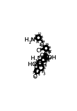 C[C@]12C=CC(=O)C=C1CC[C@@H]1[C@@H]2[C@@H](O)C[C@@]2(C)[C@H]1C[C@H]1O[C@@H](c3c(F)ccc(OCc4cccc(N)c4)c3Cl)O[C@]12C(=O)CO